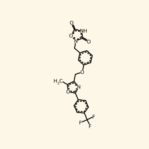 Cc1oc(-c2ccc(C(F)(F)F)cc2)nc1COc1cccc(Cn2oc(=O)[nH]c2=O)c1